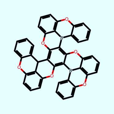 c1ccc2c(c1)Oc1cccc3c1B2c1c2c(c4c(c1O3)C1c3ccccc3Oc3cccc(c31)O4)B1c3ccccc3Oc3cccc(c31)O2